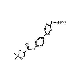 CCCCCCCCCOc1ncc(-c2ccc(OC(=O)C3COC(C)(C)O3)cc2)cn1